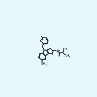 CC(C)C(=O)NC1Cc2c(n(Cc3cccc(F)n3)c3ccc(N)cc23)C1